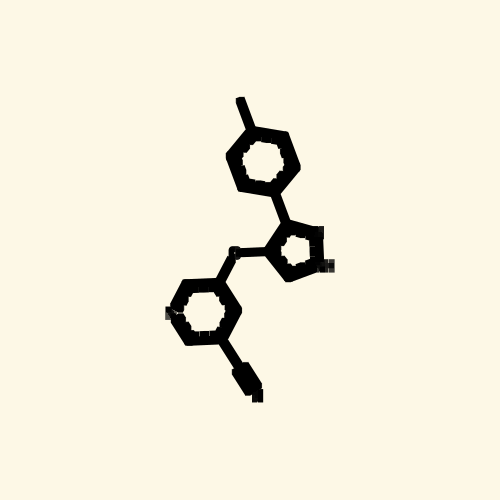 Cc1ccc(-c2n[nH]cc2Oc2cncc(C#N)c2)cc1